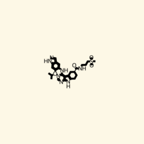 CC(C)Oc1cc2[nH]ncc2cc1Nc1ncnc2[nH]c3c(c12)C[C@@H](C(=O)NCCCS(C)(=O)=O)CC3